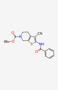 CC(C)(C)OC(=O)N1CCc2c(sc(NC(=O)c3ccccc3)c2C#N)C1